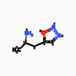 CC(N)Cc1cnno1